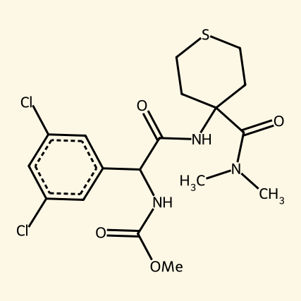 COC(=O)NC(C(=O)NC1(C(=O)N(C)C)CCSCC1)c1cc(Cl)cc(Cl)c1